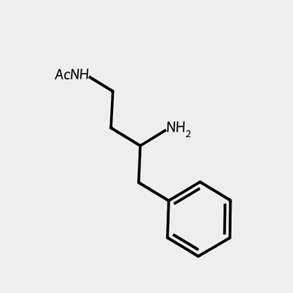 CC(=O)NCCC(N)Cc1ccccc1